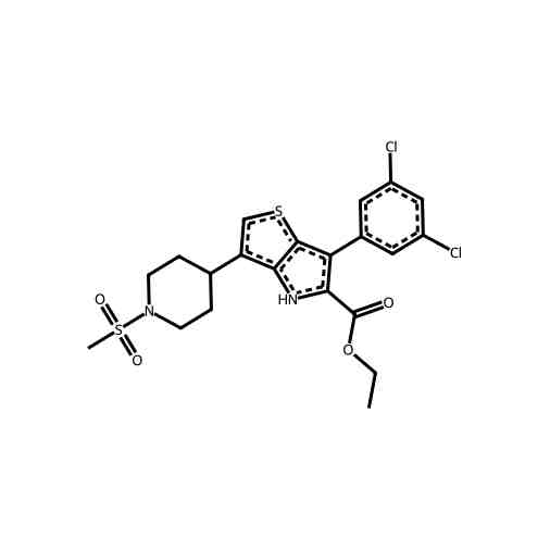 CCOC(=O)c1[nH]c2c(C3CCN(S(C)(=O)=O)CC3)csc2c1-c1cc(Cl)cc(Cl)c1